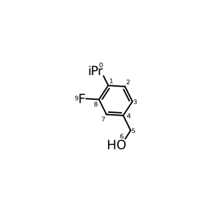 CC(C)c1ccc(CO)cc1F